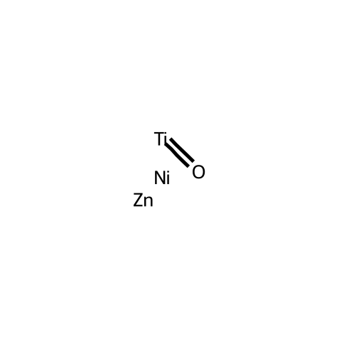 [Ni].[O]=[Ti].[Zn]